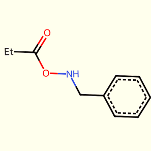 CCC(=O)ONCc1ccccc1